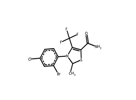 CC1SC(C(N)=O)=C(C(F)(F)F)N1c1ccc(Cl)cc1Br